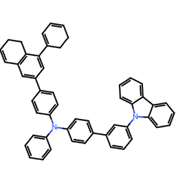 C1=CCCC(c2cc(-c3ccc(N(c4ccccc4)c4ccc(-c5cccc(-n6c7ccccc7c7ccccc76)c5)cc4)cc3)cc3c2CCC=C3)=C1